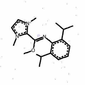 CO/C(=N\c1c(C(C)C)cccc1C(C)C)c1n(C)cc[n+]1C